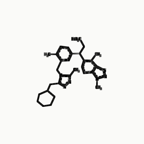 CCOC(=O)CC(c1ccc(C)c(Cn2c(C)nnc2CC2CCCCC2)c1)c1ccc2c(nnn2C)c1C